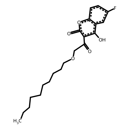 CCCCCCCCCCOCC(=O)c1c(O)c2cc(F)ccc2oc1=O